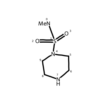 CNS(=O)(=O)N1CCNCC1